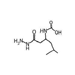 CC(C)CC(CC(=O)NN)NC(=O)O